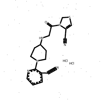 Cl.Cl.N#CC1=CSCN1C(=O)CNC1CCN(c2ncccc2C#N)CC1